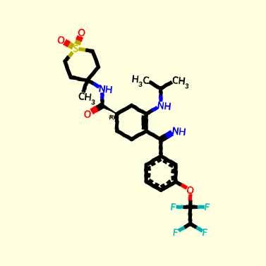 CC(C)NC1=C(C(=N)c2cccc(OC(F)(F)C(F)F)c2)CC[C@@H](C(=O)NC2(C)CCS(=O)(=O)CC2)C1